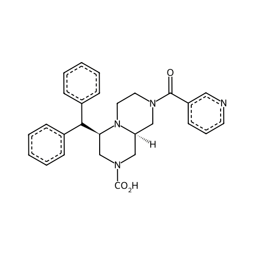 O=C(O)N1C[C@@H]2CN(C(=O)c3cccnc3)CCN2[C@H](C(c2ccccc2)c2ccccc2)C1